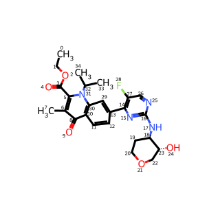 CCOC(=O)c1c(C)c(=O)c2ccc(-c3nc(N[C@@H]4CCOC[C@H]4O)ncc3F)cc2n1C(C)C